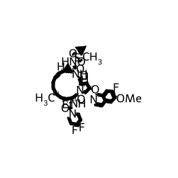 CC[C@@H]1C[C@H](C)CCC=C[C@@H]2C[C@@]2(C(=O)NS(=O)(=O)C2(C)CC2)NC(=O)[C@@H]2C[C@@H](Oc3nccc4cc(OC)c(F)cc34)CN2C(=O)[C@H]1NC(=O)N1CCC(F)(F)CC1